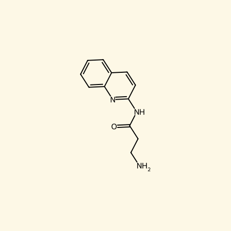 NCCC(=O)Nc1ccc2ccccc2n1